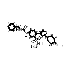 CC(C)(C)NS(=O)(=O)c1cc(NC(=O)NCc2ccccc2)ccc1-c1cnc(C2CCC(N)CC2)s1